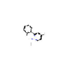 CCc1cc[n+](C)c(-c2ccccc2C)c1